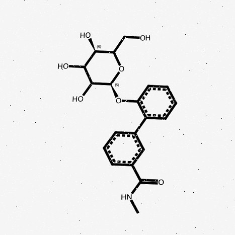 CNC(=O)c1cccc(-c2ccccc2O[C@@H]2OC(CO)[C@H](O)C(O)C2O)c1